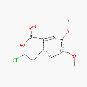 COc1cc(CCCl)c(B(O)O)cc1OC